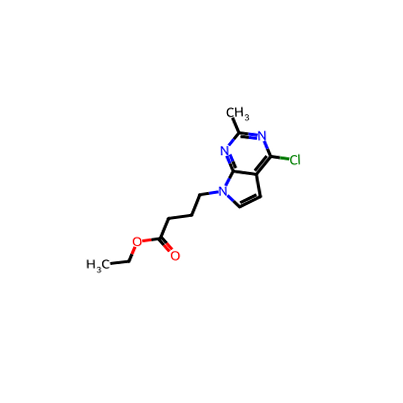 CCOC(=O)CCCn1ccc2c(Cl)nc(C)nc21